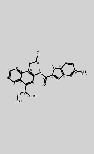 CC(C)(C)ON(C=O)c1cc(NC(=O)c2cc3cc(N)ccc3o2)c(CCCl)c2ccccc12